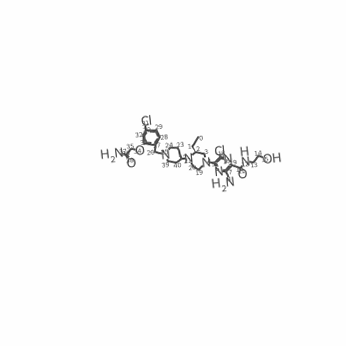 CC[C@H]1CN(c2nc(N)c(C(=O)NCCO)nc2Cl)CCN1C1CCN(Cc2ccc(Cl)cc2OCC(N)=O)CC1